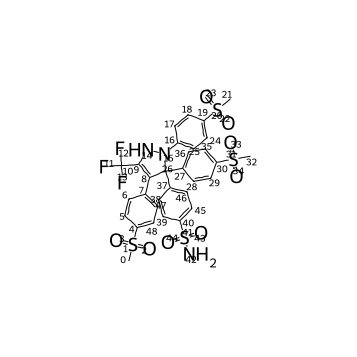 CS(=O)(=O)c1ccc(C2=C(C(F)(F)F)NN(c3ccc(S(C)(=O)=O)cc3)C2(c2ccc(S(C)(=O)=O)cc2)c2ccc(S(N)(=O)=O)cc2)cc1